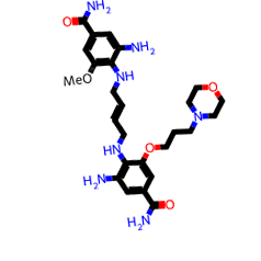 COc1cc(C(N)=O)cc(N)c1NCC=CCNc1c(N)cc(C(N)=O)cc1OCCCN1CCOCC1